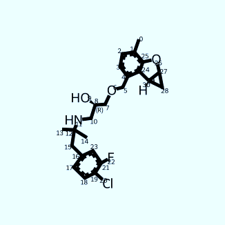 Cc1ccc(COC[C@H](O)CNC(C)(C)Cc2ccc(Cl)c(F)c2)c2c1OC1C[C@@H]21